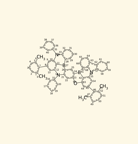 Cc1cccc(C)c1-c1cc2c3c(c1)N(c1ccccc1)c1cc4c(cc1B3c1ccccc1N2c1ccccc1)B1c2c(cc(-c3c(C)cccc3C)cc2-n2c3ccccc3c3cccc1c32)O4